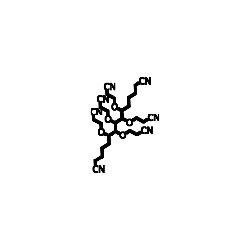 N#CCCCCC(OCCC#N)C(OCCC#N)C(OCCC#N)C(OCCC#N)C(CCCCC#N)OCCC#N